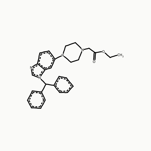 CCOC(=O)CN1CCN(c2ccc3ncn(C(c4ccccc4)c4ccccc4)c3c2)CC1